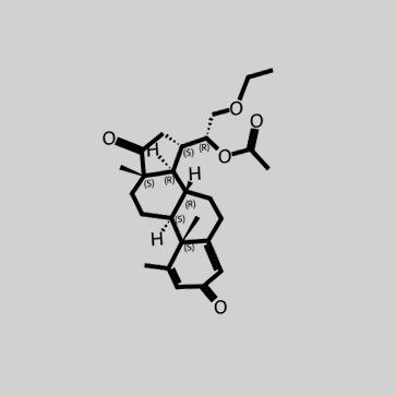 CCOC[C@H](OC(C)=O)[C@H]1CC(=O)[C@@]2(C)CC[C@H]3[C@@H](CCC4=CC(=O)C=C(C)[C@@]43C)[C@H]12